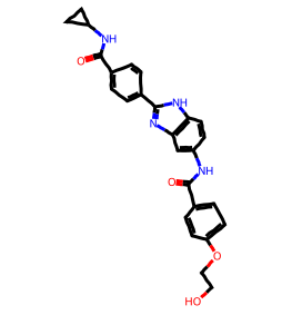 O=C(Nc1ccc2[nH]c(-c3ccc(C(=O)NC4CC4)cc3)nc2c1)c1ccc(OCCO)cc1